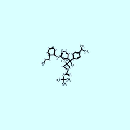 CC(C)c1ccc(C(O)(c2cnnc(Oc3ccccc3CCO)c2)C2(C)CN(C(=O)OC(C)(C)C)C2)cc1